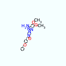 CCOc1cc2nc(N3CCN(C(=O)Cc4ccc(OCc5ccccc5)cc4)CC3)nc(N)c2cc1OCC